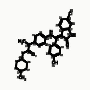 CN1CCN(CC(=O)N(C)c2ccc(NC(=C3C(=O)Nc4cc(Cl)ccc43)c3ccc(O)cc3)cc2)CC1